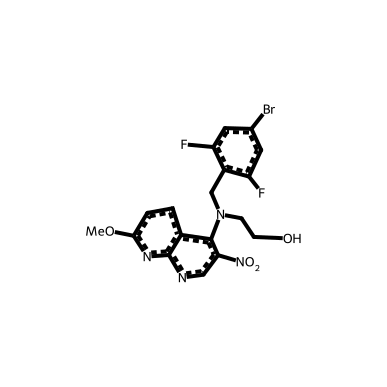 COc1ccc2c(N(CCO)Cc3c(F)cc(Br)cc3F)c([N+](=O)[O-])cnc2n1